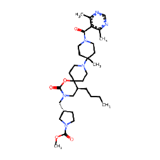 CCCC[C@H]1CN(C[C@@H]2CCN(C(=O)OC)C2)C(=O)OC12CCN(C1(C)CCN(C(=O)c3c(C)ncnc3C)CC1)CC2